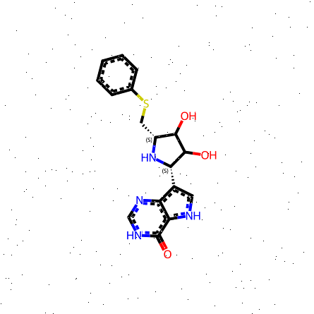 O=c1[nH]cnc2c([C@@H]3N[C@H](CSc4ccccc4)C(O)C3O)c[nH]c12